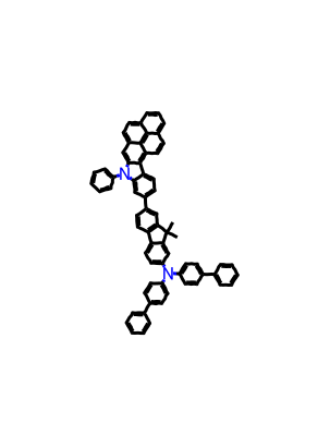 CC1(C)c2cc(-c3ccc4c5c6ccc7cccc8ccc(cc5n(-c5ccccc5)c4c3)c6c87)ccc2-c2ccc(N(c3ccc(-c4ccccc4)cc3)c3ccc(-c4ccccc4)cc3)cc21